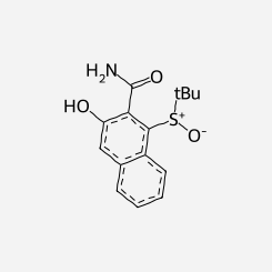 CC(C)(C)[S+]([O-])c1c(C(N)=O)c(O)cc2ccccc12